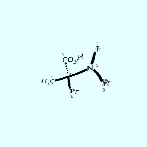 CC(C)N(C(C)C)[C@@](C)(C(=O)O)C(C)C